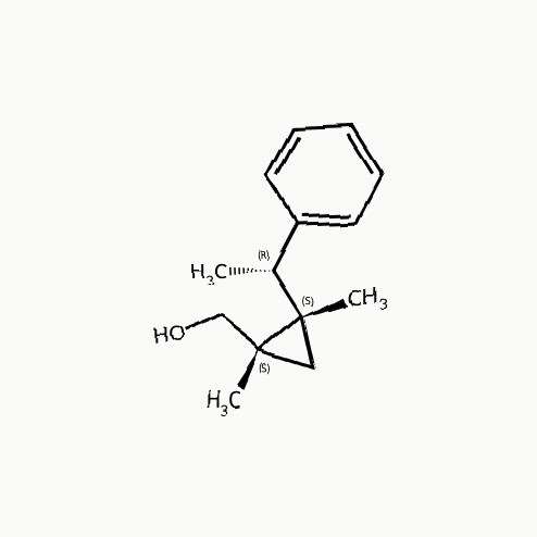 C[C@H](c1ccccc1)[C@]1(C)C[C@]1(C)CO